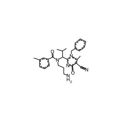 Cc1cccc(C(=O)N(CCCN)C(c2nc(=O)c(C#N)c(C)n2Cc2ccccc2)C(C)C)c1